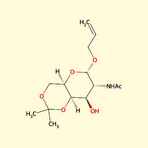 C=CCO[C@H]1O[C@@H]2COC(C)(C)O[C@@H]2[C@H](O)[C@H]1NC(C)=O